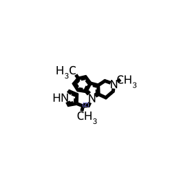 C/C(=C/n1c2c(c3cc(C)ccc31)CN(C)CC2)c1cc[nH]c1